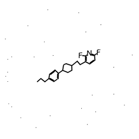 CCCc1ccc(C2CCC(CCc3ccc(F)nc3F)CC2)cc1